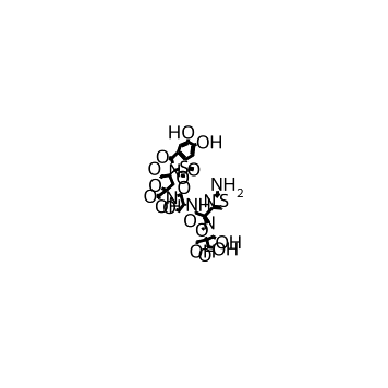 Nc1nc(/C(=N/OC(CO)(CO)C(=O)O)C(=O)N[C@H]2CON(C3(C(=O)O)C[C@H](N4C(=O)c5cc(O)c(O)cc5S4(=O)=O)C(=O)O3)C2=O)cs1